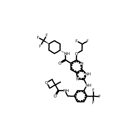 CC1(C(=O)NCc2ccc(C(F)(F)F)c(Nc3nc4cc(C(=O)N[C@H]5CC[C@H](C(F)(F)F)CC5)c(OCC(F)F)nc4[nH]3)c2)COC1